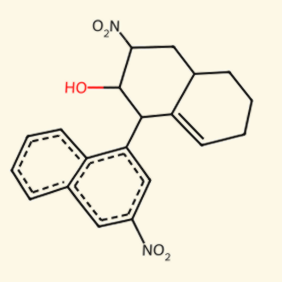 O=[N+]([O-])c1cc(C2C3=CCCCC3CC([N+](=O)[O-])C2O)c2ccccc2c1